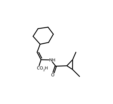 CC1C(C)C1C(=O)N/C(=C\C1CCCCC1)C(=O)O